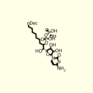 CCCCCCCCCCCCCCCCCC(OP(=O)(O)OP(=O)(O)O)C(O)[C@H]1O[C@@H](n2ccc(N)nc2=O)[C@H](O)[C@@H]1O